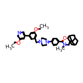 CCOc1cncc(-c2cc(CN3CCN(c4ccc(C(=O)N(C)CC56CC7CC(CC(C7)C5)C6)cc4)CC3)cc(OCC)c2)c1